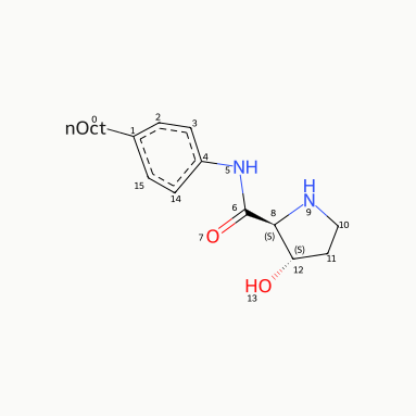 CCCCCCCCc1ccc(NC(=O)[C@H]2NCC[C@@H]2O)cc1